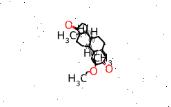 CCOC1=C[C@@]2(C)C(=CC1=O)CC[C@@H]1[C@@H]2CC[C@]2(C)C(=O)CC[C@@H]12